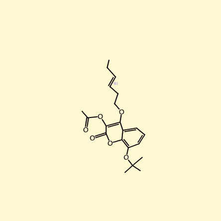 CC/C=C/CCOc1c(OC(C)=O)c(=O)oc2c(OC(C)(C)C)cccc12